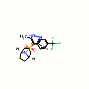 Cc1n[nH]c(C)c1S(=O)(=O)N1[C@@H]2CC[C@H]1C[C@H](Oc1ccc(C(F)(F)F)cc1)C2